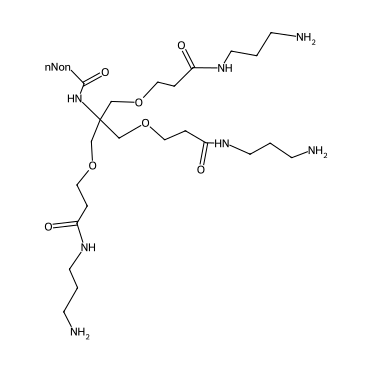 CCCCCCCCCC(=O)NC(COCCC(=O)NCCCN)(COCCC(=O)NCCCN)COCCC(=O)NCCCN